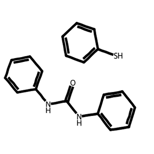 O=C(Nc1ccccc1)Nc1ccccc1.Sc1ccccc1